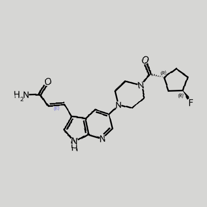 NC(=O)/C=C/c1c[nH]c2ncc(N3CCN(C(=O)[C@@H]4CC[C@@H](F)C4)CC3)cc12